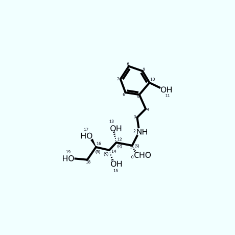 O=C[C@@H](NCCc1ccccc1O)[C@@H](O)[C@H](O)[C@H](O)CO